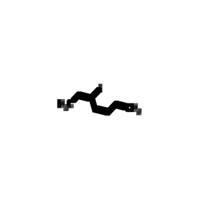 C=C/C=C\C(I)=C/C